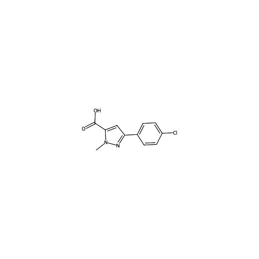 Cn1nc(-c2ccc(Cl)cc2)cc1C(=O)O